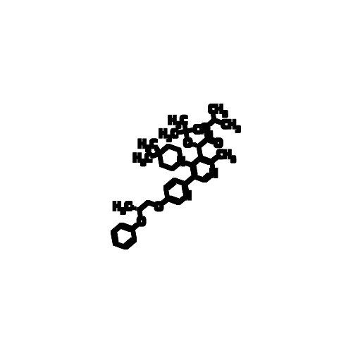 Cc1ncc(-c2ccc(OC[C@@H](C)Oc3ccccc3)cn2)c(N2CCC(C)(C)CC2)c1[C@H](OC(C)(C)C)C(=O)OC(C)C